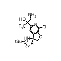 CC[C@]1(N[S+]([O-])C(C)(C)C)COc2c1cc(C(O)(CN)C(F)(F)F)nc2Cl